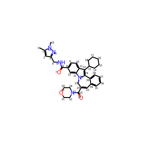 Cc1cc(CNC(=O)c2ccc3c(C4CCCCC4)c4n(c3c2)CC(C(=O)N2CCOCC2)=Cc2ccccc2-4)nn1C